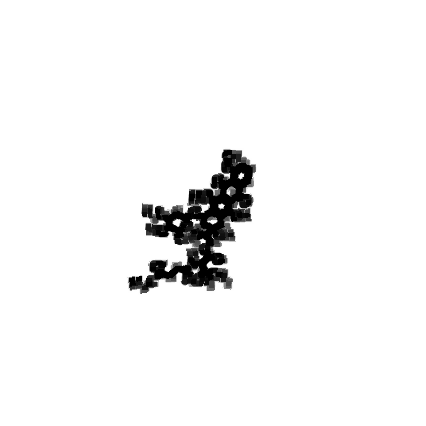 COc1cccc2c1C(=O)c1c(O)c3c(c(O)c1C2=O)CC(O)(C(=O)COC(=O)[C@H](NC(=O)CCC(C)=O)C(C)C)C[C@H]3OC1CC(C)C(O)C(C)O1